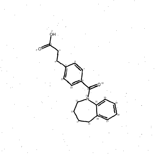 O=C(O)CCc1ccc(C(=O)N2CCCCc3ccccc32)cc1